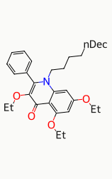 CCCCCCCCCCCCCCn1c(-c2ccccc2)c(OCC)c(=O)c2c(OCC)cc(OCC)cc21